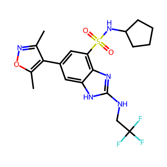 Cc1noc(C)c1-c1cc(S(=O)(=O)NC2CCCC2)c2nc(NCC(F)(F)F)[nH]c2c1